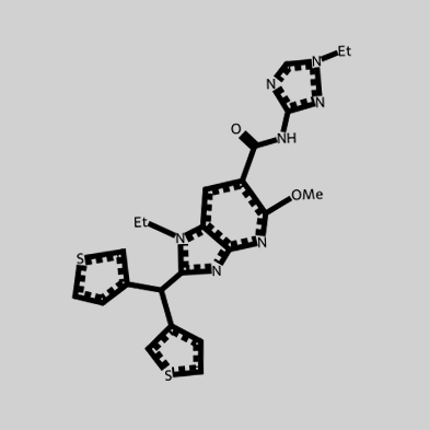 CCn1cnc(NC(=O)c2cc3c(nc2OC)nc(C(c2ccsc2)c2ccsc2)n3CC)n1